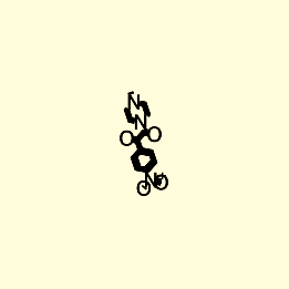 CN1CCN(C(=O)C(=O)c2ccc([N+](=O)[O-])cc2)CC1